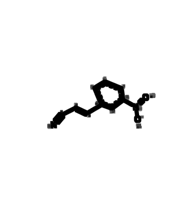 N#C/C=C/c1cccc([N+](=O)[O-])c1